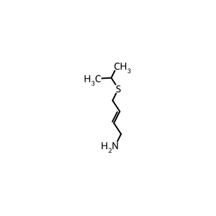 CC(C)SC/C=C/CN